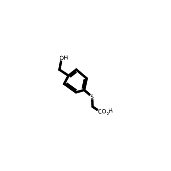 O=C(O)CSc1ccc(CO)cc1